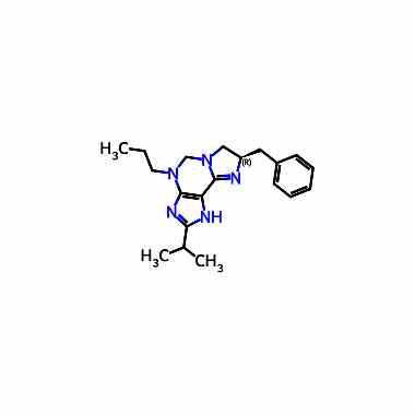 CCCN1CN2C[C@@H](Cc3ccccc3)N=C2c2[nH]c(C(C)C)nc21